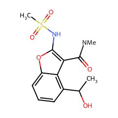 CNC(=O)c1c(NS(C)(=O)=O)oc2cccc(C(C)O)c12